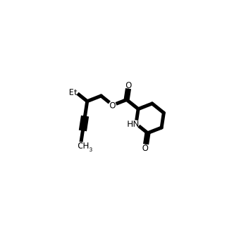 CC#CC(CC)COC(=O)C1CCCC(=O)N1